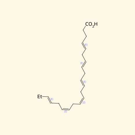 CC/C=C/C/C=C\C/C=C\C/C=C/C/C=C/C/C=C/CCC(=O)O